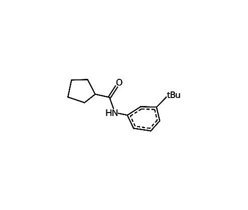 CC(C)(C)c1cccc(NC(=O)C2CCCC2)c1